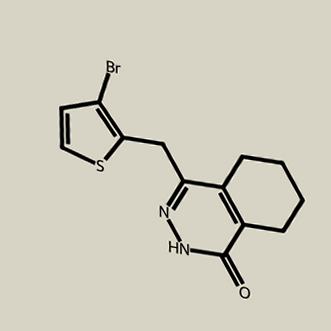 O=c1[nH]nc(Cc2sccc2Br)c2c1CCCC2